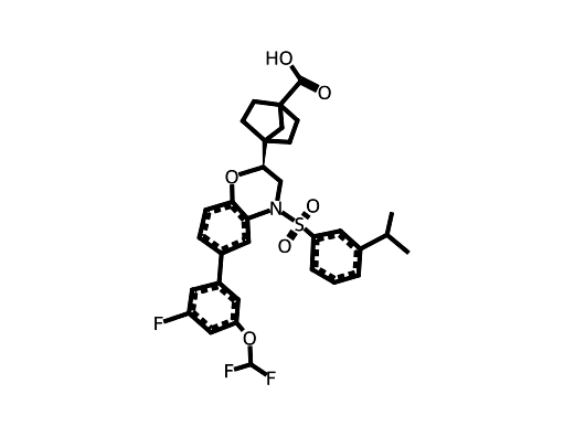 CC(C)c1cccc(S(=O)(=O)N2C[C@H](C34CCC(C(=O)O)(CC3)C4)Oc3ccc(-c4cc(F)cc(OC(F)F)c4)cc32)c1